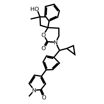 Cn1ccc(-c2ccc(C(C3CC3)N3CCC(CC(C)(C)O)(c4ccccc4)OC3=O)cc2)cc1=O